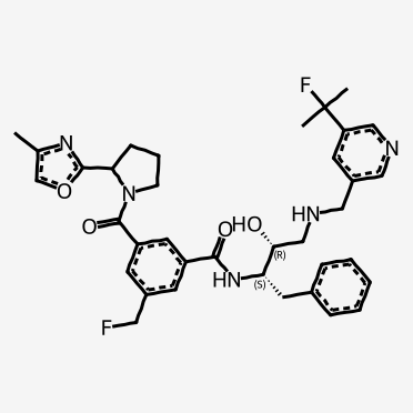 Cc1coc(C2CCCN2C(=O)c2cc(CF)cc(C(=O)N[C@@H](Cc3ccccc3)[C@H](O)CNCc3cncc(C(C)(C)F)c3)c2)n1